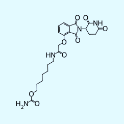 NC(=O)OCCCCCCCNC(=O)COc1cccc2c1C(=O)N(C1CCC(=O)NC1=O)C2=O